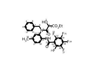 CCOC(=O)C(O)C(=O)N(Cc1ccccc1)c1cc(C)ccc1NC(=O)c1c(F)c(F)c(F)c(F)c1F